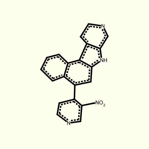 O=[N+]([O-])c1cnccc1-c1cc2[nH]c3cnccc3c2c2ccccc12